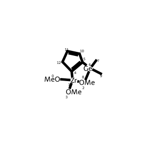 C[O][Zr]([O]C)([O]C)[C]1=[C]([Ge]([CH3])([CH3])[CH3])C=CC1